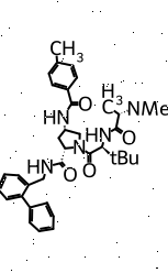 CN[C@@H](C)C(=O)N[C@H](C(=O)N1C[C@@H](NC(=O)c2ccc(C)cc2)C[C@H]1C(=O)NCc1ccccc1-c1ccccc1)C(C)(C)C